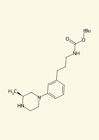 C[C@H]1CN(c2cccc(CCCNC(=O)OC(C)(C)C)c2)CCN1